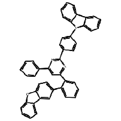 c1ccc(-c2cc(-c3ccccc3-c3ccc4oc5ccccc5c4c3)nc(-c3ccc(-n4c5ccccc5c5ccccc54)cc3)n2)cc1